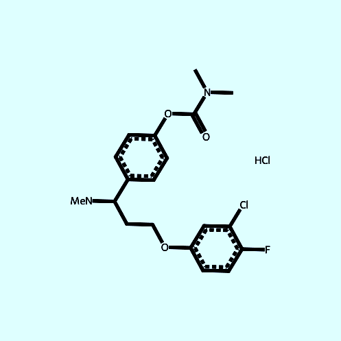 CNC(CCOc1ccc(F)c(Cl)c1)c1ccc(OC(=O)N(C)C)cc1.Cl